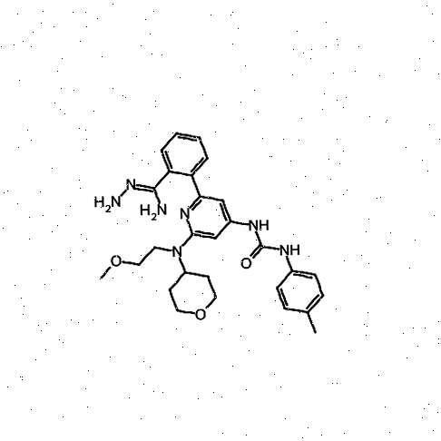 COCCN(c1cc(NC(=O)Nc2ccc(C)cc2)cc(-c2ccccc2/C(N)=N/N)n1)C1CCOCC1